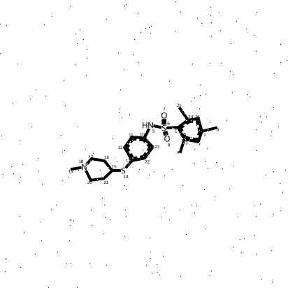 Cc1cc(C)c(S(=O)(=O)Nc2ccc(SC3CCN(C)CC3)cc2)c(C)c1